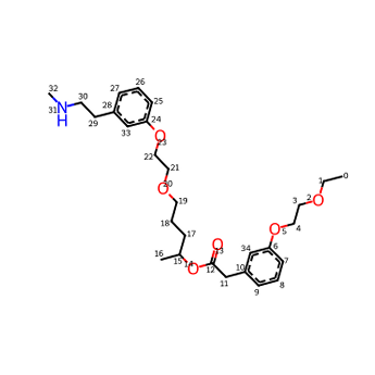 CCOCCOc1cccc(CC(=O)OC(C)CCCOCCOc2cccc(CCNC)c2)c1